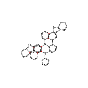 c1ccc(N(c2ccc3oc4ccccc4c3c2)c2cccc(-c3ccc4sc5ccccc5c4c3)c2N(c2ccccc2)c2ccc3ccccc3c2)cc1